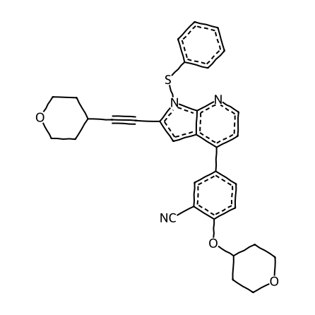 N#Cc1cc(-c2ccnc3c2cc(C#CC2CCOCC2)n3Sc2ccccc2)ccc1OC1CCOCC1